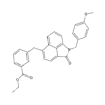 CCOC(=O)c1cccc(Cc2ccc3c4c(cccc24)N(Cc2ccc(OC)cc2)C3=O)c1